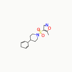 Cc1oncc1S(=O)(=O)N1CCC(C2C=CCC=C2)CC1